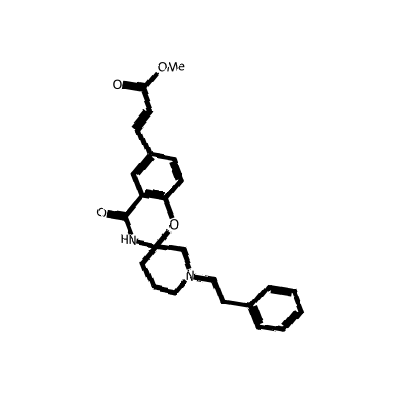 COC(=O)/C=C/c1ccc2c(c1)C(=O)NC1(CCCN(CCc3ccccc3)C1)O2